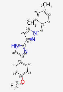 CC1=CCC(Cn2nc(-c3nc(-c4ccc(OC(F)(F)F)cc4)c[nH]3)cc2C)C=C1